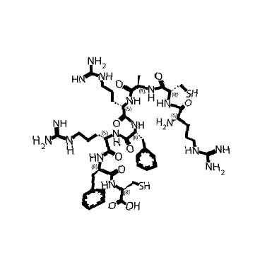 C[C@@H](NC(=O)[C@H](CS)NC(=O)[C@@H](N)CCCNC(=N)N)C(=O)N[C@@H](CCCNC(=N)N)C(=O)N[C@H](Cc1ccccc1)C(=O)N[C@@H](CCCNC(=N)N)C(=O)N[C@H](Cc1ccccc1)C(=O)N[C@@H](CS)C(=O)O